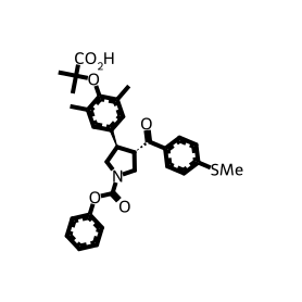 CSc1ccc(C(=O)[C@@H]2CN(C(=O)Oc3ccccc3)C[C@H]2c2cc(C)c(OC(C)(C)C(=O)O)c(C)c2)cc1